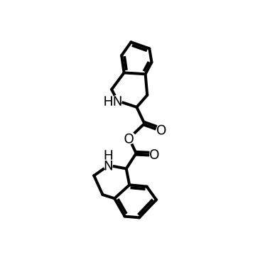 O=C(OC(=O)C1NCCc2ccccc21)C1Cc2ccccc2CN1